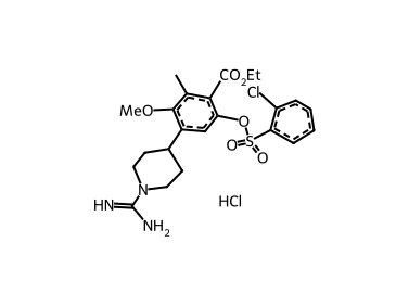 CCOC(=O)c1c(OS(=O)(=O)c2ccccc2Cl)cc(C2CCN(C(=N)N)CC2)c(OC)c1C.Cl